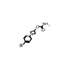 NC(=O)OC1CN(c2ccc(Br)cc2)C1